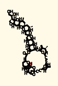 C=C1C[C@@H]2CC[C@]34CC(O3)[C@@H]3O[C@H]5CC[C@H](CC(=O)O[C@@H]6[C@@H](C)[C@@H]7O[C@@H]8C[C@]9(C[C@@H]%10O[C@]%11(C[C@H](C)[C@@H]%12O[C@@H]%13[C@@H]([C@@H](O)CO)CO[C@@H]%13C[C@@H]%12O%11)C[C@H](C)[C@@H]%10O9)O[C@@H]8C[C@@H]7O[C@H]6C[C@H]6O[C@@H](CC[C@@H]1O2)C[C@@H](C)C6=C)O[C@@H]5[C@H](O4)[C@@H]3O